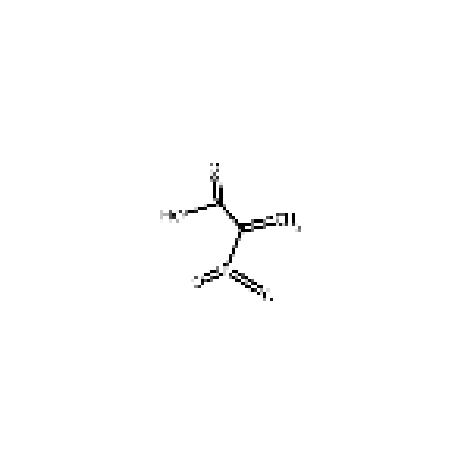 C=C(C(=O)O)P(=O)=O